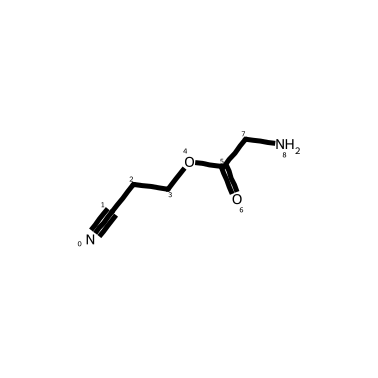 N#CCCOC(=O)CN